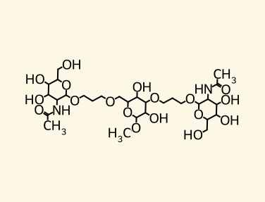 COC1OC(COCCCOC2OC(CO)C(O)C(O)C2NC(C)=O)C(O)C(OCCCOC2OC(CO)C(O)C(O)C2NC(C)=O)C1O